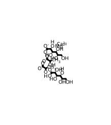 CC(O)C(=O)[O-].CC(O)C(=O)[O-].O=C([O-])[C@H](O)[C@@H](O)[C@H](O)[C@H](O)CO.O=C([O-])[C@H](O)[C@@H](O)[C@H](O)[C@H](O)CO.[Ca+2].[Mg+2]